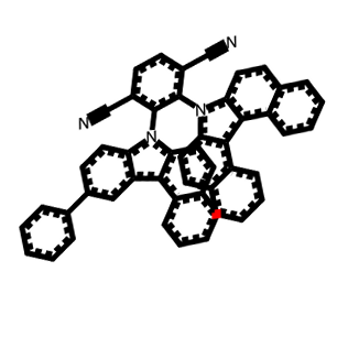 N#Cc1ccc(C#N)c(-n2c3ccc4ccccc4c3c3c4ccccc4ccc32)c1-n1c2ccc(-c3ccccc3)cc2c2c3ccccc3ccc21